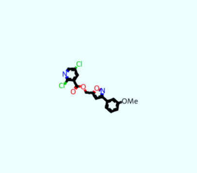 COc1cccc(-c2cc(COC(=O)c3cc(Cl)cnc3Cl)on2)c1